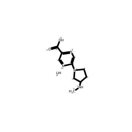 CNC1CCN(c2cnc(C(=O)O)cn2)C1.[LiH]